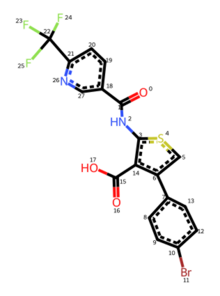 O=C(Nc1scc(-c2ccc(Br)cc2)c1C(=O)O)c1ccc(C(F)(F)F)nc1